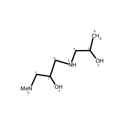 CNCC(O)CNCC(C)O